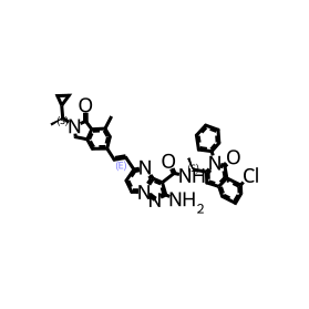 Cc1cc(/C=C/c2ccn3nc(N)c(C(=O)N[C@@H](C)c4cc5cccc(Cl)c5c(=O)n4-c4ccccc4)c3n2)cc2c1C(=O)N([C@@H](C)C1CC1)C2